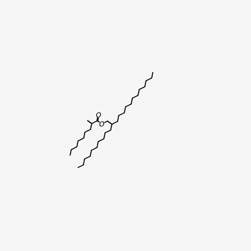 CCCCCCCCCCCCC(CCCCCCCCCC)COC(=O)C(C)CCCCCCC